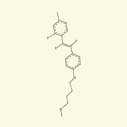 COCCCCOc1ccc(/C(F)=C(\F)c2ccc(C)cc2F)cc1